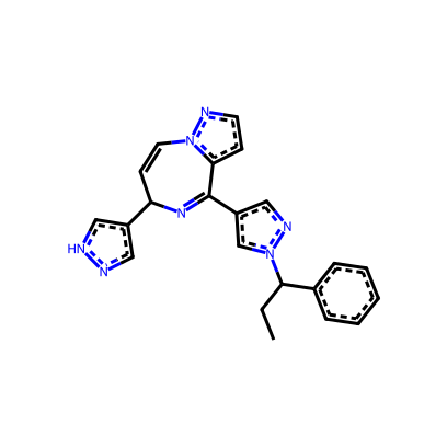 CCC(c1ccccc1)n1cc(C2=NC(c3cn[nH]c3)C=Cn3nccc32)cn1